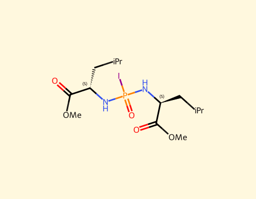 COC(=O)[C@H](CC(C)C)NP(=O)(I)N[C@@H](CC(C)C)C(=O)OC